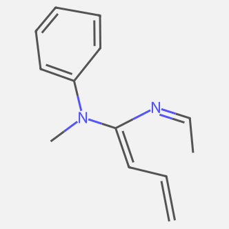 C=C/C=C(\N=C/C)N(C)c1ccccc1